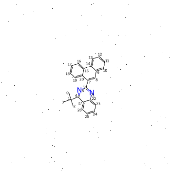 CC(C)(C)c1nc(-c2cc3ccccc3c3ccccc23)nc2ccccc12